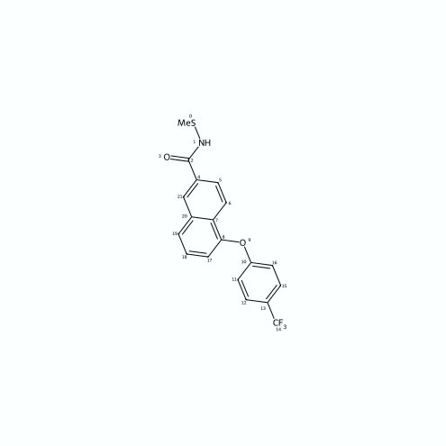 CSNC(=O)c1ccc2c(Oc3ccc(C(F)(F)F)cc3)cccc2c1